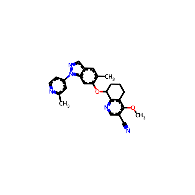 COc1c(C#N)cnc2c1CCCC2Oc1cc2c(cnn2-c2ccnc(C)c2)cc1C